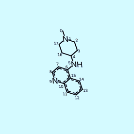 CN1CCC(Nc2ccnc3ccccc23)CC1